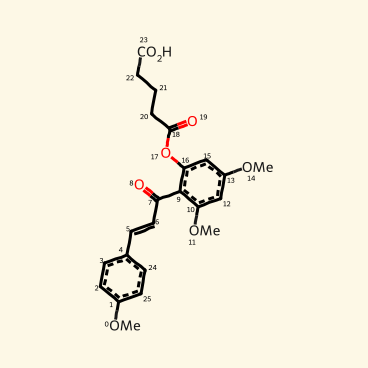 COc1ccc(/C=C/C(=O)c2c(OC)cc(OC)cc2OC(=O)CCCC(=O)O)cc1